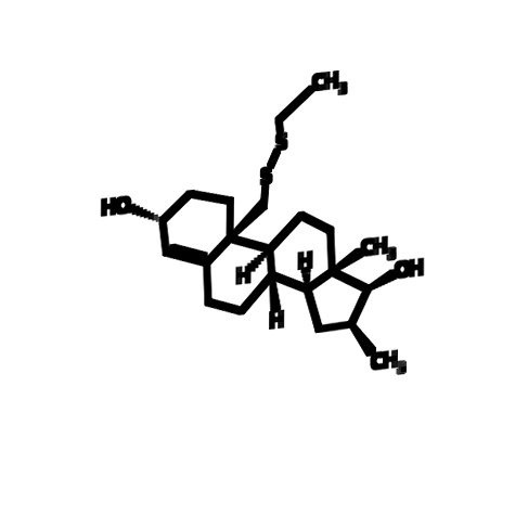 CCSSC[C@]12CC[C@@H](O)C=C1CC[C@@H]1[C@@H]2CC[C@]2(C)[C@@H](O)[C@@H](C)C[C@@H]12